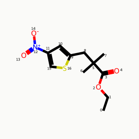 CCOC(=O)C(C)(C)Cc1cc([N+](=O)[O-])cs1